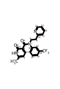 Cc1ccc(C(=O)N(CCc2ccccn2)c2cccc(C(F)(F)F)c2)c(=O)[nH]1